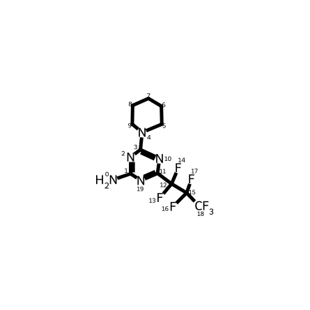 Nc1nc(N2CCCCC2)nc(C(F)(F)C(F)(F)C(F)(F)F)n1